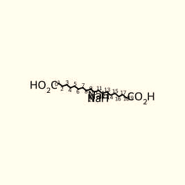 O=C(O)CCCCCCCCCCCCCCCCCCC(=O)O.[NaH].[NaH]